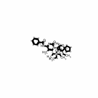 CC[C@]12O[C@@H](n3cc(C)c(NC(=O)c4ccccc4)nc3=O)[C@@H](OC13CCCC3)C2O[Si](CC)(CC)CC